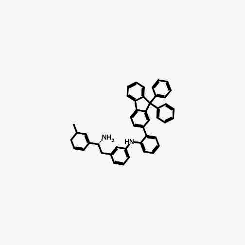 CC1C=C([C@H](N)Cc2cccc(Nc3ccccc3-c3ccc4c(c3)C(c3ccccc3)(c3ccccc3)c3ccccc3-4)c2)C=CC1